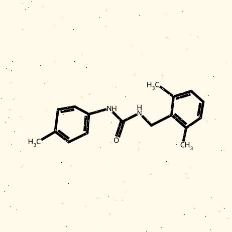 Cc1ccc(NC(=O)NCc2c(C)cccc2C)cc1